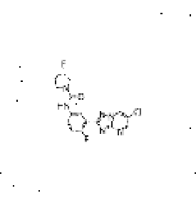 O=C(Nc1ccc(F)c(-c2nc3ncc(Cl)cn3n2)c1)N1CCC(F)C1